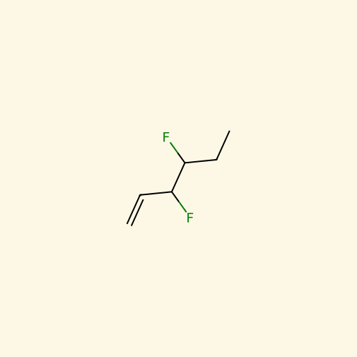 C=CC(F)C(F)CC